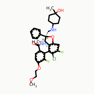 COCCOc1ccc(C(N)=O)c(-c2c(Cl)c(F)cc3c2[C@H](C)[C@@](CNC2CCC(C)(O)CC2)(c2ccccc2)O3)c1F